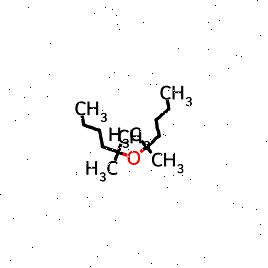 CCCCC(C)(C)OC(C)(C)CCCC